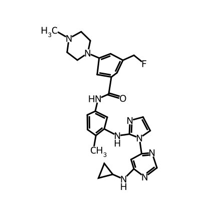 Cc1ccc(NC(=O)c2cc(CF)cc(N3CCN(C)CC3)c2)cc1Nc1nccn1-c1cc(NC2CC2)ncn1